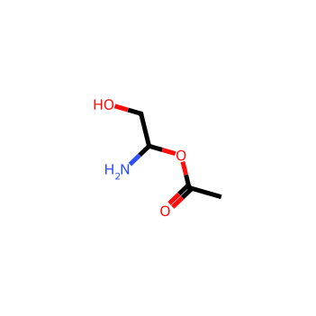 CC(=O)OC(N)CO